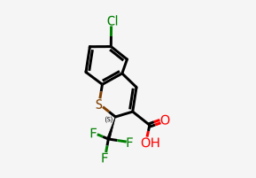 O=C(O)C1=Cc2cc(Cl)ccc2S[C@@H]1C(F)(F)F